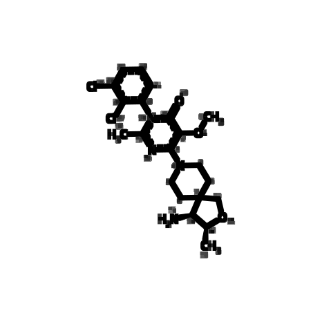 COc1c(N2CCC3(CC2)CO[C@@H](C)[C@H]3N)nc(C)n(-c2cccc(Cl)c2Cl)c1=O